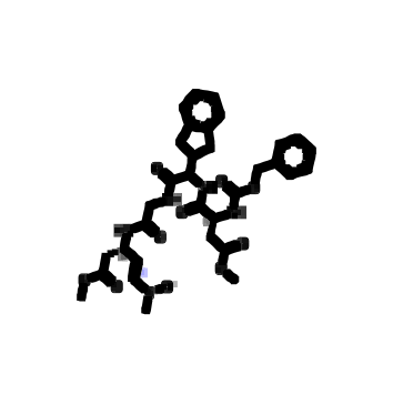 COC(=O)C[C@@H](/C=C/[S+](C)[O-])NC(=O)CNC(=O)C(NC(=O)[C@H](CC(=O)OC)NC(=O)OCc1ccccc1)C1Cc2ccccc2C1